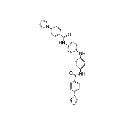 O=C(Nc1ccc(Nc2ccc(NC(=O)c3ccc(-n4cccc4)cc3)cc2)cc1)c1ccc(-n2cccc2)cc1